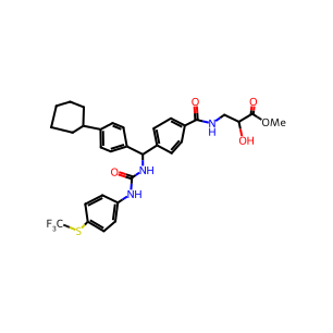 COC(=O)C(O)CNC(=O)c1ccc(C(NC(=O)Nc2ccc(SC(F)(F)F)cc2)c2ccc(C3CCCCC3)cc2)cc1